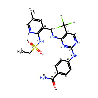 CCS(=O)(=O)Nc1ncc(C)cc1CNc1nc(Nc2ccc(C(N)=O)cc2)ncc1C(F)(F)F